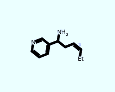 CC/C=C\CC(N)c1cccnc1